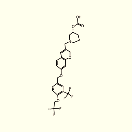 O=C(O)O[C@@H]1CCCN(CC2=Cc3ccc(OCc4ccc(OCC(F)(F)F)c(C(F)(F)F)c4)cc3OC2)C1